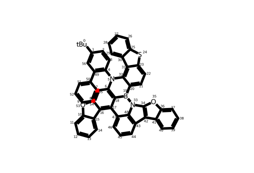 CC(C)(C)c1ccc(N2c3cc4oc5ccccc5c4c4c3B(c3ccc5sc6ccccc6c5c32)n2c3oc5ccccc5c3c3cccc-4c32)c(-c2ccccc2)c1